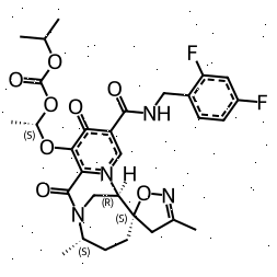 CC1=NO[C@@]2(CC[C@H](C)N3C[C@H]2n2cc(C(=O)NCc4ccc(F)cc4F)c(=O)c(O[C@H](C)OC(=O)OC(C)C)c2C3=O)C1